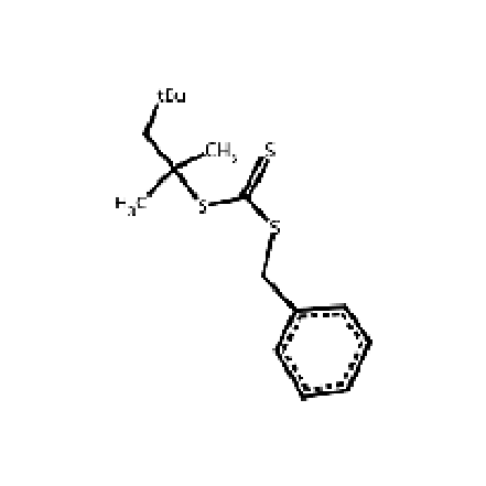 CC(C)(C)CC(C)(C)SC(=S)SCc1ccccc1